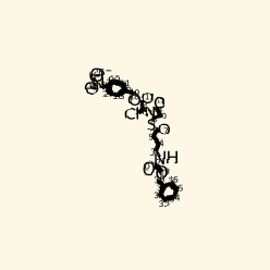 O=C(NCCCC(=O)S[C@H]1CC(=O)N1C(Cl)C(=O)OCc1ccc([N+](=O)[O-])cc1)OCc1ccccc1